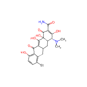 CCc1ccc(O)c2c1CC1CC3C(N(C)C)C(O)=C(C(N)=O)C(=O)C3(O)C(O)=C1C2=O